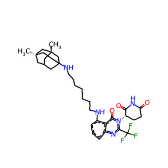 C[C@]12CC3CC(NCCCCCCCNc4cccc5nc(C(F)(F)F)n([C@H]6CCC(=O)NC6=O)c(=O)c45)(C1)C[C@@](C)(C3)C2